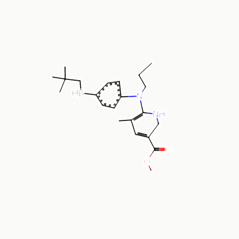 CCCN(C1=C(C)C=C(C(=O)OC)CN1)c1ccc(BCC(C)(C)C)cc1